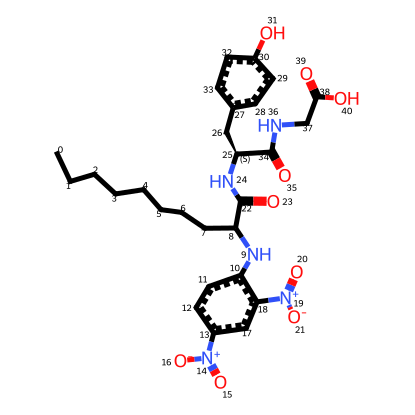 CCCCCCCCC(Nc1ccc([N+](=O)[O-])cc1[N+](=O)[O-])C(=O)N[C@@H](Cc1ccc(O)cc1)C(=O)NCC(=O)O